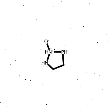 [O-][NH+]1NCCP1